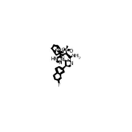 CS(=O)(=O)c1c(C2CC3CCC(C2)N3C(=O)c2nnc[nH]2)nc2c(-c3ccc4ccc(F)cc4c3)cnn2c1N